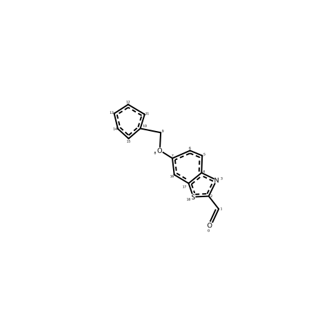 O=Cc1nc2ccc(OCc3ccccc3)cc2s1